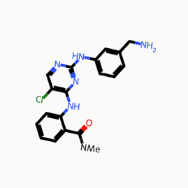 CNC(=O)c1ccccc1Nc1nc(Nc2cccc(CN)c2)ncc1Cl